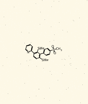 CSc1ccc(-c2ccccn2)c(SC)c1-c1ccc(S(C)(=O)=O)cc1